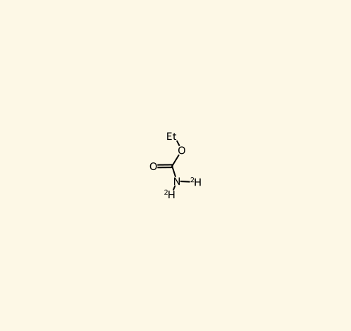 [2H]N([2H])C(=O)OCC